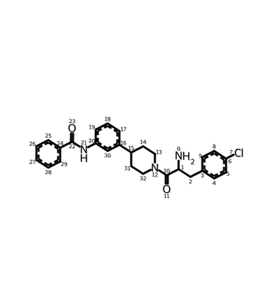 NC(Cc1ccc(Cl)cc1)C(=O)N1CCC(c2cccc(NC(=O)c3ccccc3)c2)CC1